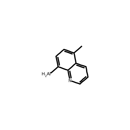 Cc1cc[c]([AlH2])c2ncccc12